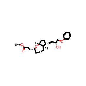 CC(C)OC(=O)CC[C@H]1CCC[C@H]2[C@H](CC[C@@H]2/C=C/[C@@H](O)COc2ccccc2)O1